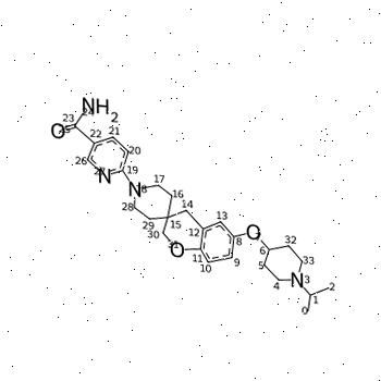 CC(C)N1CCC(Oc2ccc3c(c2)CC2(CCN(c4ccc(C(N)=O)cn4)CC2)CO3)CC1